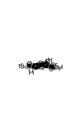 CC(C)(C)C(=O)Nc1ccc(S(=O)(=O)c2ccc(NC(=O)C(C)(O)C(F)(F)F)c(Cl)c2)cc1